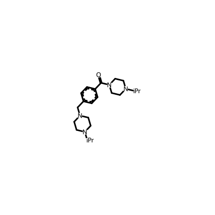 CC(C)N1CCN(Cc2ccc(C(=O)N3CCN(C(C)C)CC3)cc2)CC1